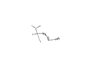 CCC/C=N/C(C)(I)C(C)I